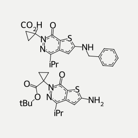 CC(C)c1nn(C2(C(=O)O)CC2)c(=O)c2sc(NCc3ccccc3)cc12.CC(C)c1nn(C2(C(=O)OC(C)(C)C)CC2)c(=O)c2sc(N)cc12